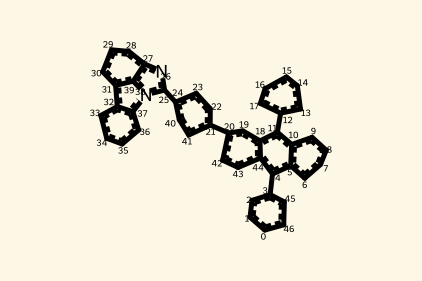 c1ccc(-c2c3ccccc3c(-c3ccccc3)c3cc(-c4ccc(-c5nc6cccc7c8ccccc8n5c67)cc4)ccc23)cc1